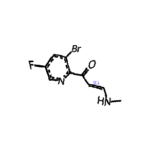 CN/C=C/C(=O)c1ncc(F)cc1Br